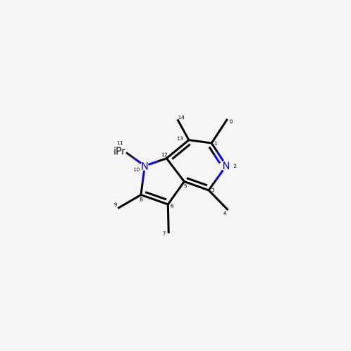 Cc1nc(C)c2c(C)c(C)n(C(C)C)c2c1C